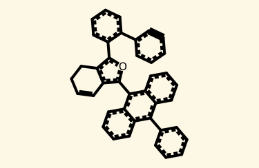 c1cccc(-c2ccccc2-c2oc(-c3c4ccccc4c(-c4ccccc4)c4ccccc34)c3c2CCC=C3)c#1